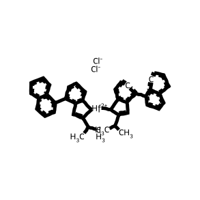 CC(C)C1=Cc2c(-c3cccc4ccccc34)cccc2[CH]1[Hf+2][CH]1C(C(C)C)=Cc2c(-c3cccc4ccccc34)cccc21.[Cl-].[Cl-]